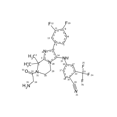 CC1(C)c2nc(-c3ccc(F)c(F)c3)c(Nc3ccc(C#N)c(C(F)(F)F)c3)n2CCN1C(=O)CN